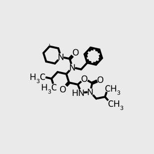 CC(C)CC(C(=O)C1NN(CC(C)C)C(=O)O1)N(Cc1ccccc1)C(=O)N1C[CH]CCC1